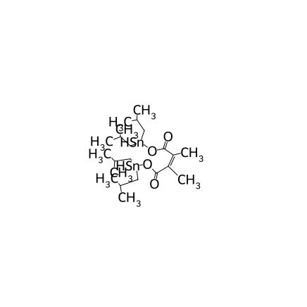 C/C(C(=O)[O][SnH]([CH2]C(C)C)[CH2]C(C)C)=C(\C)C(=O)[O][SnH]([CH2]C(C)C)[CH2]C(C)C